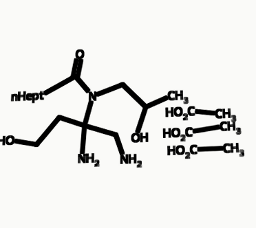 CC(=O)O.CC(=O)O.CC(=O)O.CCCCCCCC(=O)N(CC(C)O)C(N)(CN)CCO